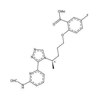 COC(=O)c1cc(F)ccc1OCCC[C@@H](C)n1cnnc1-c1cccc(NC=O)n1